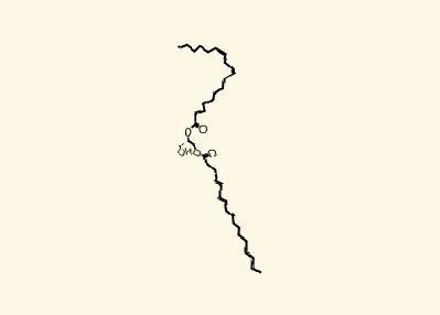 CCCCC/C=C\C/C=C\CCCCCCCC(=O)O[C@@H](CO)COC(=O)CCCCCCCCCCCCCCCC